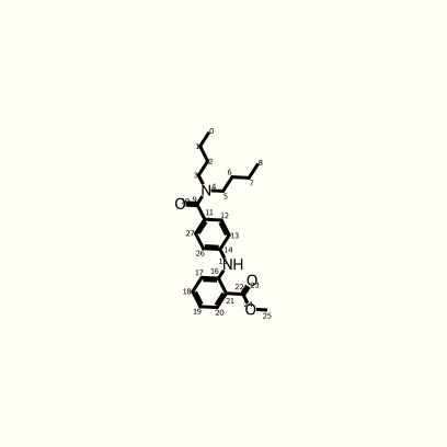 CCCCN(CCCC)C(=O)c1ccc(Nc2ccccc2C(=O)OC)cc1